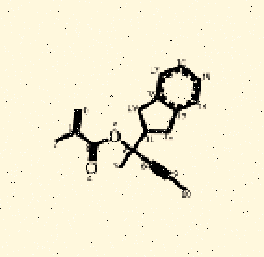 C=C(C)C(=O)OC(C)(C#CC)C1Cc2ccccc2C1